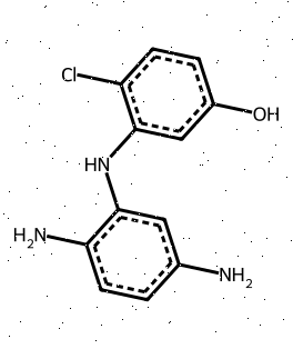 Nc1ccc(N)c(Nc2cc(O)ccc2Cl)c1